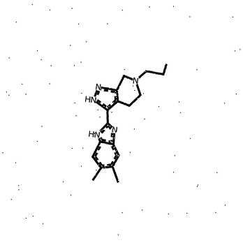 CCCN1CCc2c(n[nH]c2-c2nc3cc(C)c(C)cc3[nH]2)C1